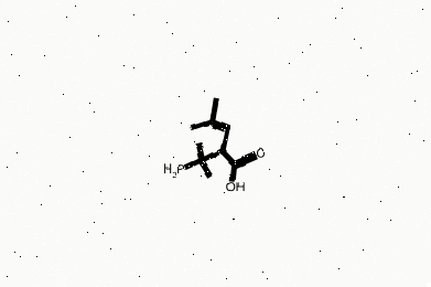 CC(C)=CC(C(=O)O)C(C)(C)P